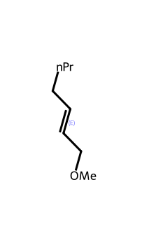 CCCC/C=C/COC